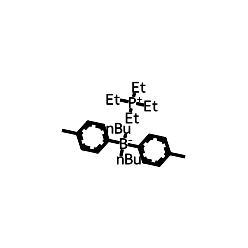 CCCC[B-](CCCC)(c1ccc(C)cc1)c1ccc(C)cc1.CC[P+](CC)(CC)CC